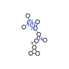 CC1(C)c2cc3c4ccccc4c4ccccc4c3cc2-c2cc3c(cc21)c1cc(-c2cnc4c(c2)c2ccccc2n4-c2nc(-c4ccccc4)cc(-c4ccccc4)n2)ccc1n3-c1ccccc1